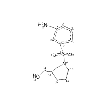 Nc1cccc(S(=O)(=O)N2CCCC2CO)c1